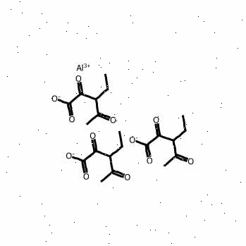 CCC(C(C)=O)C(=O)C(=O)[O-].CCC(C(C)=O)C(=O)C(=O)[O-].CCC(C(C)=O)C(=O)C(=O)[O-].[Al+3]